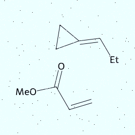 C=CC(=O)OC.CCC=C1CC1